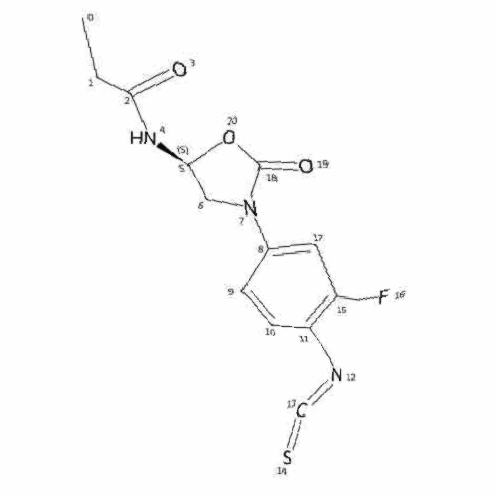 CCC(=O)N[C@@H]1CN(c2ccc(N=C=S)c(F)c2)C(=O)O1